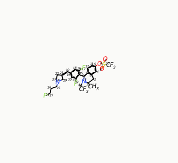 CC1Cc2cc(OS(=O)(=O)C(F)(F)F)ccc2C(c2c(F)cc(/C=C3/CCN(CCCF)C3)cc2F)N1CC(F)(F)F